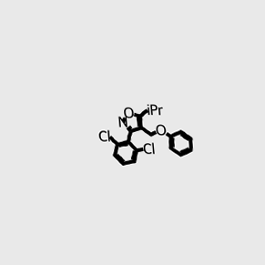 CC(C)c1onc(-c2c(Cl)cccc2Cl)c1COc1ccccc1